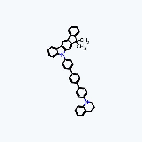 CC1(C)c2ccccc2-c2cc3c4ccccc4n(-c4ccc(-c5ccc(-c6ccc(N7CCCc8ccccc87)cc6)cc5)cc4)c3cc21